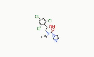 CCCN(CC(O)c1c(Cl)cc(Cl)cc1Cl)C(=O)n1ccnc1